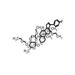 CCOCO[C@@H]1[C@H](O[C@H]2CC[C@@]3(C)[C@H](CC[C@@H]4[C@@H]3CC[C@]3(C)C(c5ccc(F)cc5)=CC[C@]43OCOCC)C2)O[C@@H](C)[C@H](OCOCC)[C@H]1OC